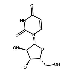 O=N[C@@H]1[C@H](O)[C@@H](CO)O[C@H]1n1ccc(=O)[nH]c1=O